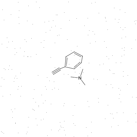 C#Cc1ccccc1.CN(C)C